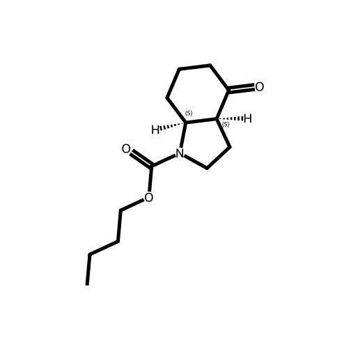 CCCCOC(=O)N1CC[C@@H]2C(=O)CCC[C@@H]21